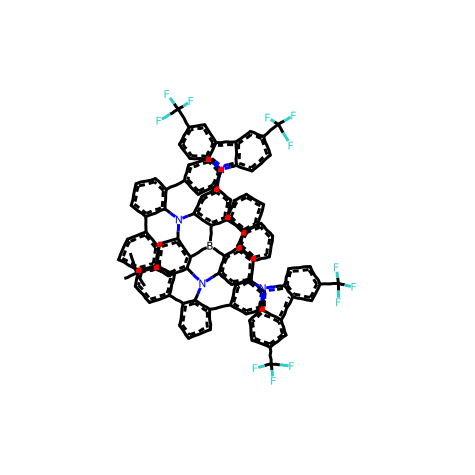 CC(C)(C)c1cc2c3c(c1)N(c1c(-c4ccccc4)cccc1-c1ccccc1)c1cc(-n4c5ccc(C(F)(F)F)cc5c5cc(C(F)(F)F)ccc54)cc(-c4ccccc4)c1B3c1c(-c3ccccc3)cc(-n3c4ccc(C(F)(F)F)cc4c4cc(C(F)(F)F)ccc43)cc1N2c1c(-c2ccccc2)cccc1-c1ccccc1